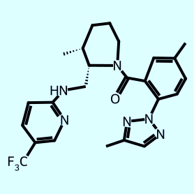 Cc1ccc(-n2ncc(C)n2)c(C(=O)N2CCC[C@@H](C)[C@H]2CNc2ccc(C(F)(F)F)cn2)c1